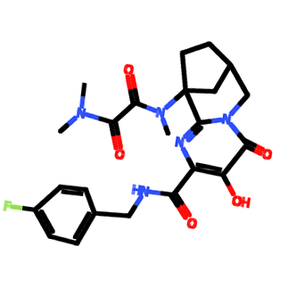 CN(C)C(=O)C(=O)N(C)C12CCC(Cn3c1nc(C(=O)NCc1ccc(F)cc1)c(O)c3=O)C2